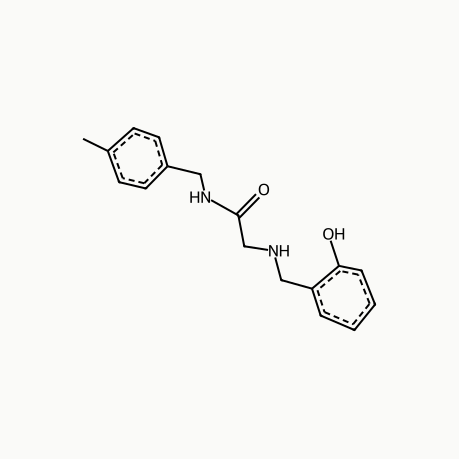 Cc1ccc(CNC(=O)CNCc2ccccc2O)cc1